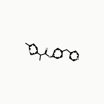 Cc1ccc(C(C)C(=O)Nc2ccc(Cc3ccncc3)cc2)cc1